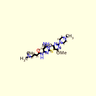 COc1nc(N2CCN(C)CC2)nc(OC)c1Sc1nc(N)cc(NC(=O)/C=C/CN(C)C)n1